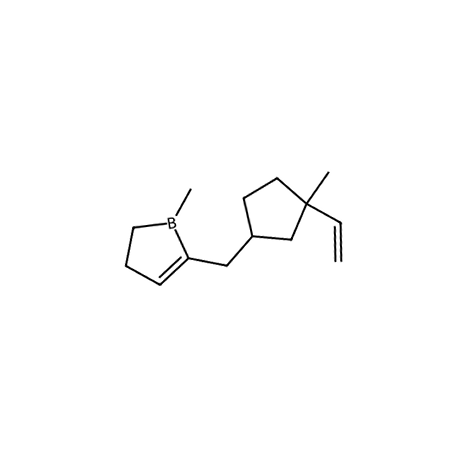 C=CC1(C)CCC(CC2=CCCB2C)C1